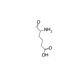 NC([C]=O)CCCC(=O)O